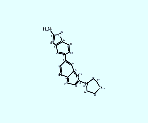 Nc1nc2cc(-c3cnc4ccc(N5CCOCC5)nc4c3)ccc2o1